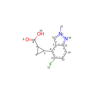 Cn1cc2c(C3CC3C(=O)O)c(F)ccc2n1